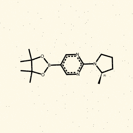 C[C@@H]1CCCN1c1ncc(B2OC(C)(C)C(C)(C)O2)cn1